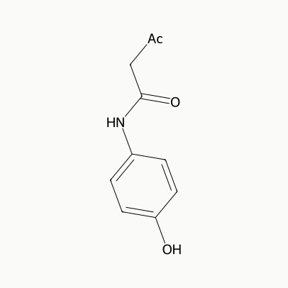 CC(=O)CC(=O)Nc1ccc(O)cc1